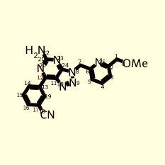 COCc1cccc(Cn2nnc3c(-c4cccc(C#N)c4)nc(N)nc32)n1